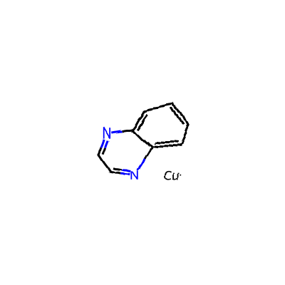 [Cu].c1ccc2nccnc2c1